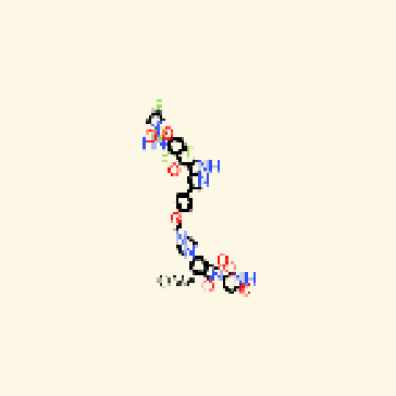 COc1cc(N2CCN(CCOc3ccc(-c4cnc5[nH]cc(C(=O)c6c(F)ccc(NS(=O)(=O)N7CC[C@@H](F)C7)c6F)c5c4)cc3)CC2)cc2c1C(=O)N(C1CCC(=O)NC1=O)C2=O